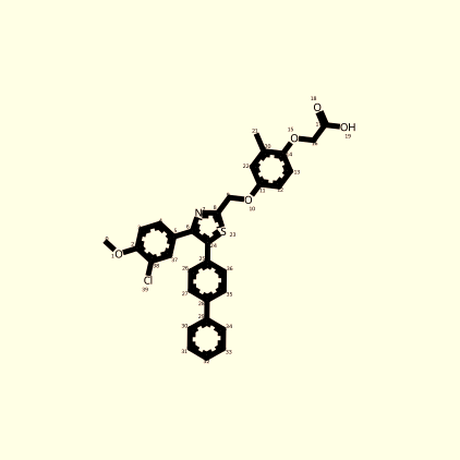 COc1ccc(-c2nc(COc3ccc(OCC(=O)O)c(C)c3)sc2-c2ccc(-c3ccccc3)cc2)cc1Cl